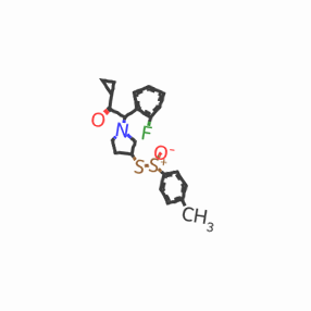 Cc1ccc([S+]([O-])SC2CCN(C(C(=O)C3CC3)c3ccccc3F)C2)cc1